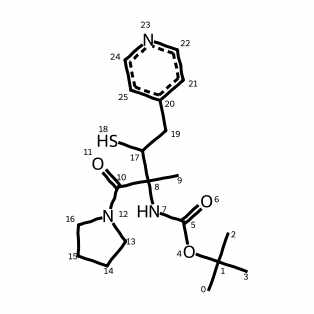 CC(C)(C)OC(=O)NC(C)(C(=O)N1CCCC1)C(S)Cc1ccncc1